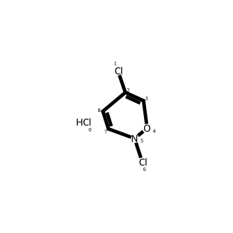 Cl.ClC1=CON(Cl)C=C1